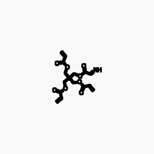 C=CC(=O)OCC(COC(=O)C=C)(COC(=O)C=C)COC(=O)C=N